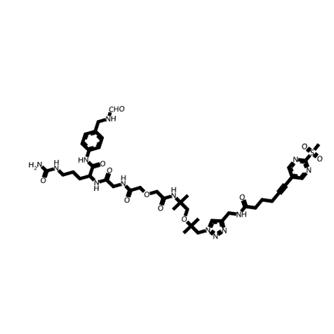 CC(C)(COC(C)(C)Cn1cc(CNC(=O)CCCC#Cc2cnc(S(C)(=O)=O)nc2)nn1)NC(=O)COCC(=O)NCC(=O)NC(CCCNC(N)=O)C(=O)Nc1ccc(CNC=O)cc1